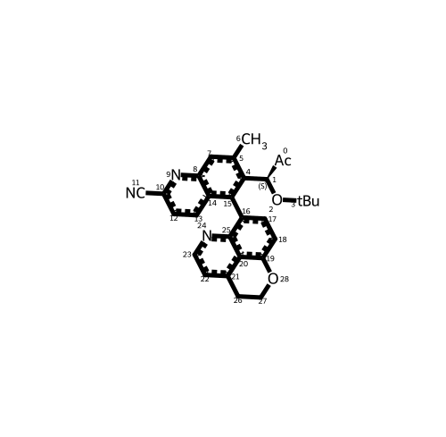 CC(=O)[C@@H](OC(C)(C)C)c1c(C)cc2nc(C#N)ccc2c1-c1ccc2c3c(ccnc13)CCO2